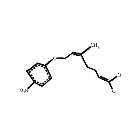 CC(=CCOc1ccc([N+](=O)[O-])cc1)CCC=C(Cl)Cl